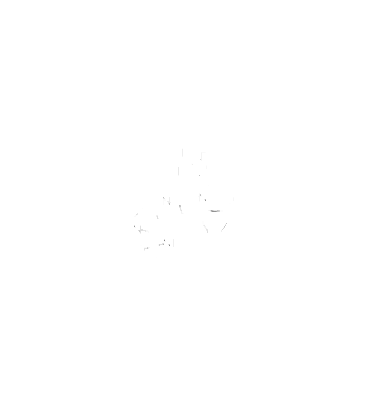 CO[C@@]1(C(F)(F)F)C[C@@H](C(=O)Nc2ccnc([S@](C)(=N)=O)c2)N(c2ccc(F)c(F)c2OC(C)C)C1